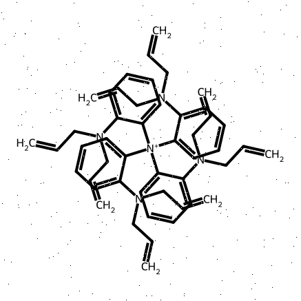 C=CCN(CC=C)c1ccccc1[N+](c1ccccc1N(CC=C)CC=C)(c1ccccc1N(CC=C)CC=C)c1ccccc1N(CC=C)CC=C